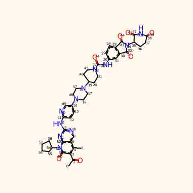 CC(=O)c1c(C)c2cnc(Nc3ccc(N4CCN(C5CCN(C(=O)Nc6ccc7c(c6)C(=O)N(C6CCC(=O)NC6=O)C7=O)CC5)CC4)cn3)nc2n(C2CCCC2)c1=O